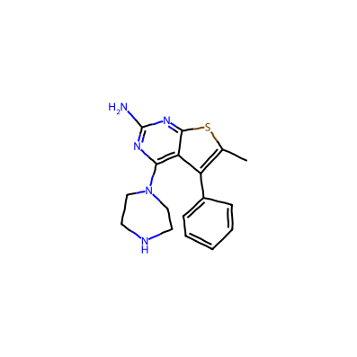 Cc1sc2nc(N)nc(N3CCNCC3)c2c1-c1ccccc1